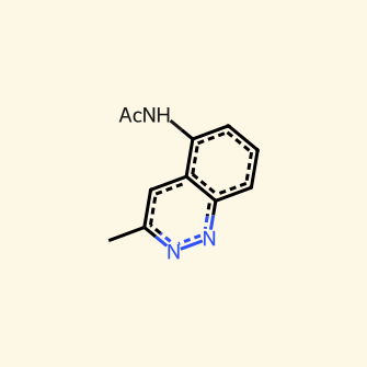 CC(=O)Nc1cccc2nnc(C)cc12